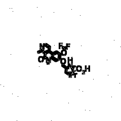 Cc1nccc2c1c(=O)n(C)c1cc(OCC(CC(C)C)NC(=O)O)c(OC(F)F)cc21